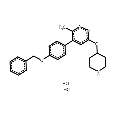 Cl.Cl.FC(F)(F)c1nnc(OC2CCNCC2)cc1-c1ccc(OCc2ccccc2)cc1